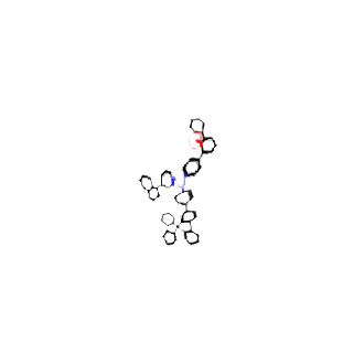 c1ccc(C2(c3ccccc3)c3ccccc3-c3ccc(-c4ccc(N(c5ccc(-c6cccc7c6oc6ccccc67)cc5)c5cccc(-c6cccc7ccccc67)c5)cc4)cc32)cc1